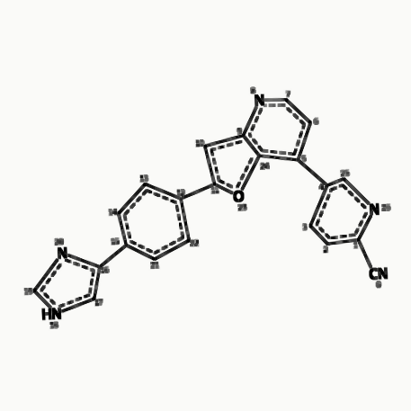 N#Cc1ccc(-c2ccnc3cc(-c4ccc(-c5c[nH]cn5)cc4)oc23)cn1